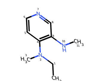 CCN(C)c1ccncc1NC